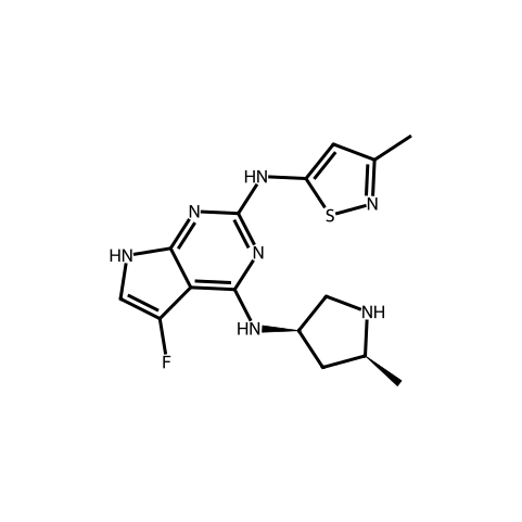 Cc1cc(Nc2nc(N[C@H]3CN[C@@H](C)C3)c3c(F)c[nH]c3n2)sn1